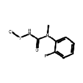 CN(C(=O)NSCl)c1ccccc1F